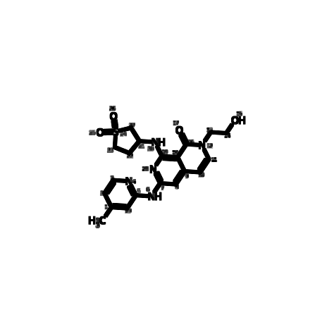 Cc1ccnc(Nc2cc3ccn(CCO)c(=O)c3c(NC3CCS(=O)(=O)C3)n2)c1